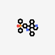 O=P(c1ccccc1)(c1ccccc1)c1ccc2c(c1)nc(-c1ccccc1)c1c3cccnc3c3ccccc3c21